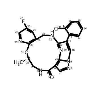 C[C@H]1CNC(=O)c2cnn3cc(-c4ccccc4Cl)c(nc23)NCc2cc(F)cnc2O1